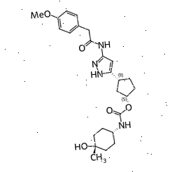 COc1ccc(CC(=O)Nc2cc([C@@H]3CC[C@H](OC(=O)N[C@H]4CC[C@@](C)(O)CC4)C3)[nH]n2)cc1